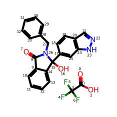 O=C(O)C(F)(F)F.O=C1c2ccccc2C(O)(c2ccc3cn[nH]c3c2)N1Cc1ccccc1